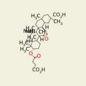 CC1(C)[C@@H](OC(=O)CCC(=O)O)CC[C@]2(C)[C@H]3C(=O)C=C4[C@@H]5C[C@@](C)(C(=O)O)CC[C@]5(C)CC[C@@]4(C)[C@]3(C)CC[C@@H]12.[NaH].[NaH]